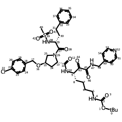 CC(C)(C)OC(=O)NCCCC[C@H](NC(=O)[C@@H]1C[C@@H](OCc2ccc(Cl)cc2)CN1C(=O)[C@@H](CCc1ccccc1)NS(C)(=O)=O)C(=O)C(=O)NCc1ccncc1